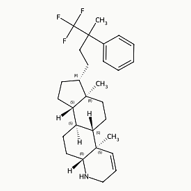 CC(CC[C@H]1CC[C@H]2[C@@H]3CC[C@H]4NCC=C[C@]4(C)[C@H]3CC[C@]12C)(c1ccccc1)C(F)(F)F